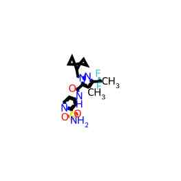 Cc1c(C(C)(F)F)nn(CC2C3(CC3)C23CC3)c1C(=O)Nc1ccnc(S(N)(=O)=O)c1